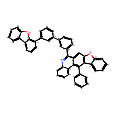 c1ccc(-c2c3c(cc4c(-c5cccc(-c6cccc(-c7cccc8c7oc7ccccc78)c6)c5)nc5ccccc5c24)oc2ccccc23)cc1